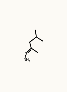 C/C(CC(C)C)=N\N